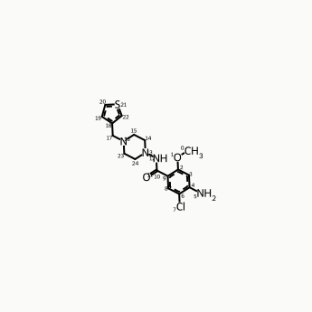 COc1cc(N)c(Cl)cc1C(=O)NN1CCN(Cc2ccsc2)CC1